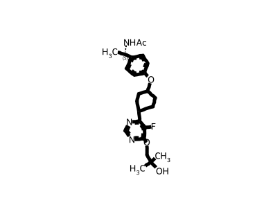 CC(=O)N[C@@H](C)c1ccc(OC2CCC(c3ncnc(OCC(C)(C)O)c3F)CC2)cc1